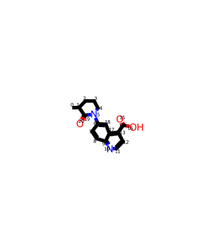 CC1CCCN(c2ccc3nccc(C(=O)O)c3c2)C1=O